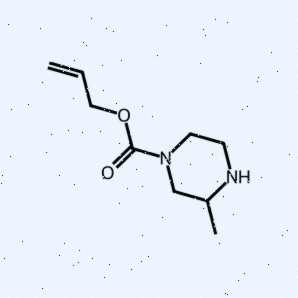 C=CCOC(=O)N1CCNC(C)C1